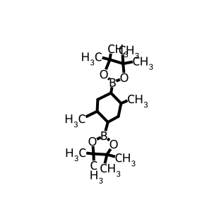 CC1CC(B2OC(C)(C)C(C)(C)O2)C(C)CC1B1OC(C)(C)C(C)(C)O1